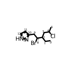 CCC(CC(C)Cl)C(Br)Cc1cc[nH]n1